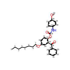 CCCCCCCCOc1ccc(OC(=O)Nc2ccc(OC)cc2)c(C(=O)c2ccccc2)c1